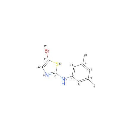 Cc1cc(C)cc(Nc2ncc(Br)s2)c1